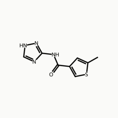 Cc1cc(C(=O)Nc2nc[nH]n2)cs1